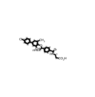 CCCCCCC(Oc1c(C)cc(-c2ccc(Cl)cc2)cc1C)c1ccc(C(=O)NCCC(=O)O)cc1